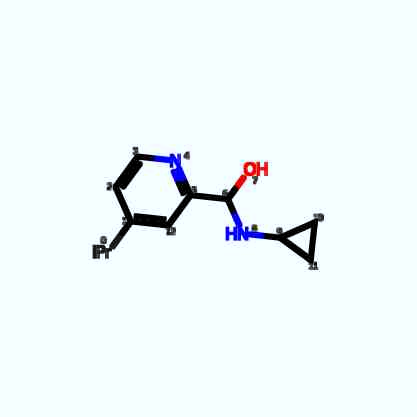 CC(C)c1ccnc(C(O)NC2CC2)c1